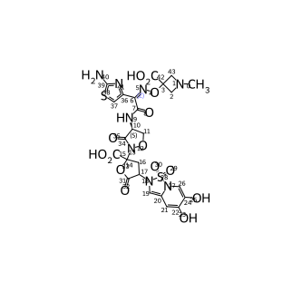 CN1CC(O/N=C(\C(=O)N[C@H]2CON(C3(C(=O)O)CC(N4C=C5C=C(O)C(O)=CN5S4(=O)=O)C(=O)O3)C2=O)c2csc(N)n2)(C(=O)O)C1